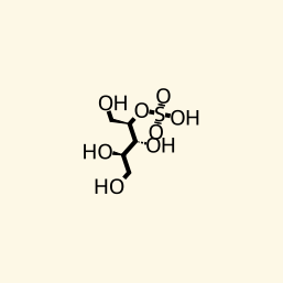 O=S(=O)(O)O[C@H](CO)[C@H](O)[C@H](O)CO